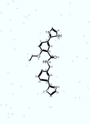 CCOc1ccc(-c2ncc[nH]2)cc1C(=O)NCc1cccc(-c2nccs2)c1